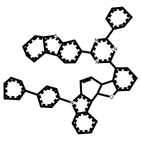 C1=CC2c3c(cccc3-c3nc(-c4ccccc4)nc(-c4ccc5c(c4)sc4ccccc45)n3)OC2c2c1n(-c1ccc(-c3ccccc3)cc1)c1ccccc21